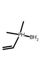 B[PH](C)(C)C=C